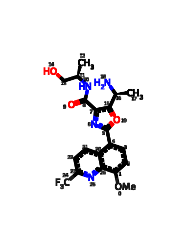 COc1ccc(-c2nc(C(=O)N[C@H](C)CO)c([C@H](C)N)o2)c2ccc(C(F)(F)F)nc12